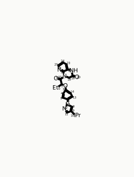 CCC(Oc1ccc(-n2cc(C(C)C)cn2)cc1)C(=O)N1CC(=O)Nc2cccnc21